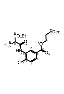 CCCCCCCCCCCCOC(=O)c1ccc(Cl)c(NC(=O)C(C)C(=O)OCC)c1